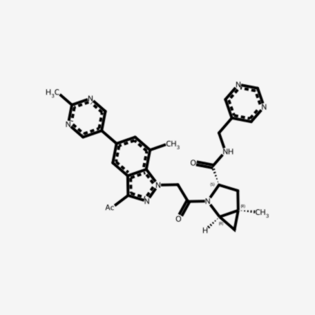 CC(=O)c1nn(CC(=O)N2[C@H](C(=O)NCc3cncnc3)C[C@@]3(C)C[C@@H]23)c2c(C)cc(-c3cnc(C)nc3)cc12